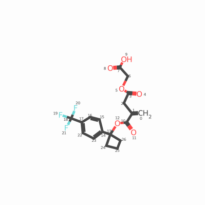 C=C(CC(=O)OCC(=O)O)C(=O)OC1(c2ccc(C(F)(F)F)cc2)CCC1